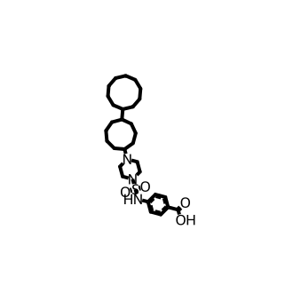 O=C(O)c1ccc(NS(=O)(=O)N2CCN(C3CCCCC(C4CCCCCCCCC4)CCC3)CC2)cc1